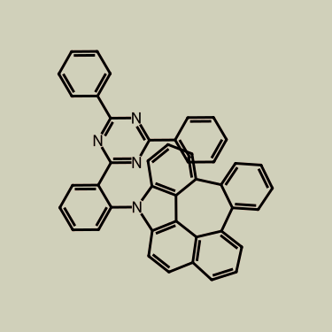 c1ccc(-c2nc(-c3ccccc3)nc(-c3ccccc3-n3c4cccc5c4c4c6c(cccc6ccc43)-c3ccccc3-5)n2)cc1